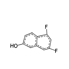 Oc1ccc2c(F)cc(F)cc2c1